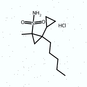 CCCCCC1(C2CC2)CC1(C)S(N)(=O)=O.Cl